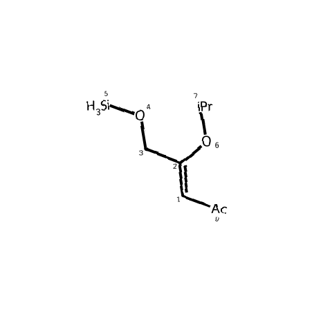 CC(=O)C=C(CO[SiH3])OC(C)C